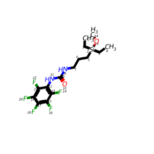 CC[Si](CC)(CCCNC(=O)Nc1c(F)c(F)c(F)c(F)c1F)OC